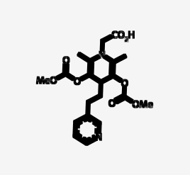 COC(=O)OC1=C(C)N(CC(=O)O)C(C)=C(OC(=O)OC)C1CCc1cccnc1